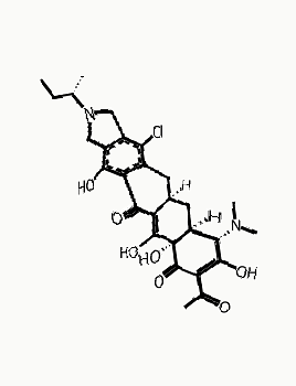 CC[C@H](C)N1Cc2c(O)c3c(c(Cl)c2C1)C[C@H]1C[C@H]2[C@H](N(C)C)C(O)=C(C(C)=O)C(=O)[C@@]2(O)C(O)=C1C3=O